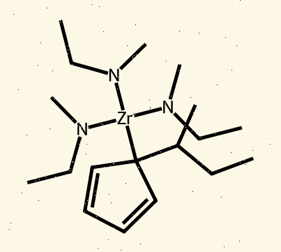 CCC(C)[C]1([Zr]([N](C)CC)([N](C)CC)[N](C)CC)C=CC=C1